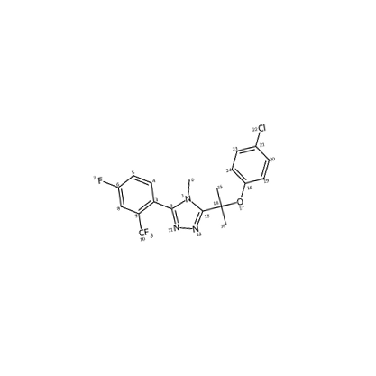 Cn1c(-c2ccc(F)cc2C(F)(F)F)nnc1C(C)(C)Oc1ccc(Cl)cc1